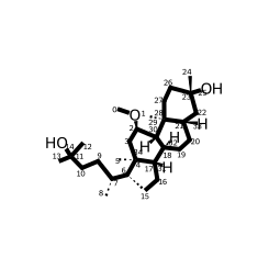 CO[C@@H]1C[C@]2(C)[C@@H]([C@H](C)CCC(C)(C)O)CC[C@H]2[C@@H]2CC[C@H]3C[C@@](C)(O)CC[C@]3(C)[C@H]21